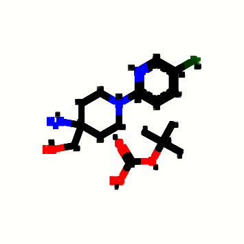 CC(C)(C)OC(=O)O.NC1(CO)CCN(c2ccc(Br)cn2)CC1